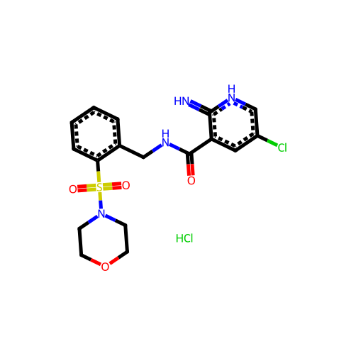 Cl.N=c1[nH]cc(Cl)cc1C(=O)NCc1ccccc1S(=O)(=O)N1CCOCC1